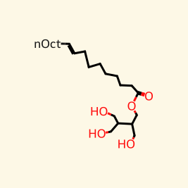 CCCCCCCCC=CCCCCCCCC(=O)OCC(CO)C(CO)CO